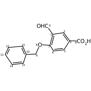 O=Cc1cc(C(=O)O)ccc1OCc1ccccc1